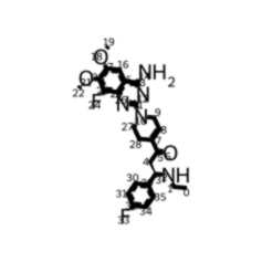 CCN[C@H](CC(=O)C1=CCN(c2nc(N)c3cc(OC)c(OC)c(F)c3n2)CC1)c1ccc(F)cc1